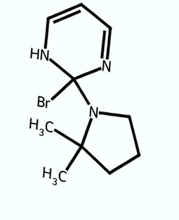 CC1(C)CCCN1C1(Br)N=CC=CN1